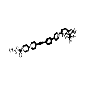 CC(=O)N1CCC(N2CCC(C#Cc3ccc(C4CCN(C5=Nn6c(nnc6C(F)(F)F)CC5)CC4)cc3)CC2)CC1